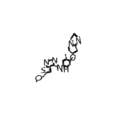 COCc1cc2c(Nc3ccc(OC4=CC5=NC=C=CN5C=C4)c(C)c3)ncnc2s1